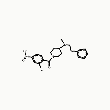 CN(CCc1ccccc1)C1CCN(C(=O)c2ccc([N+](=O)[O-])cc2Cl)CC1